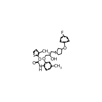 Cc1ccc(NC(=O)Oc2sccc2C)c(OCC(O)CN2CCC(Oc3ccc(F)cc3)C2)c1